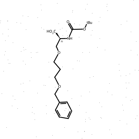 CC(C)(C)OC(=O)N[C@@H](COCCCOCc1ccccc1)C(=O)O